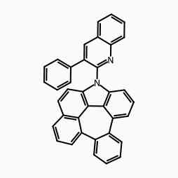 c1ccc(-c2cc3ccccc3nc2-n2c3cccc4c3c3c5c(cccc5ccc32)-c2ccccc2-4)cc1